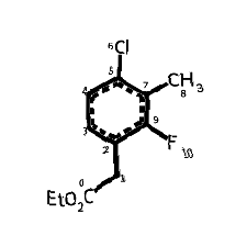 CCOC(=O)Cc1ccc(Cl)c(C)c1F